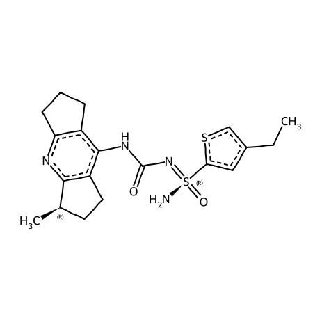 CCc1csc([S@](N)(=O)=NC(=O)Nc2c3c(nc4c2CC[C@H]4C)CCC3)c1